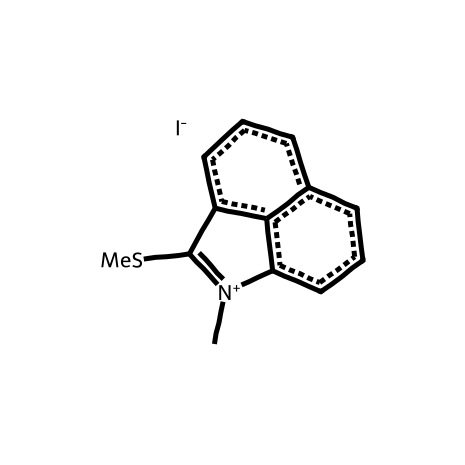 CSC1=[N+](C)c2cccc3cccc1c23.[I-]